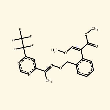 CO/C=C(/C(=O)OC)c1ccccc1CO/N=C(\C)c1cc(C(F)(F)C(F)(F)F)ncn1